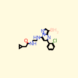 Bc1cnn2c(NCCNC(=O)CC3CC3)cc(-c3ccccc3Cl)nc12